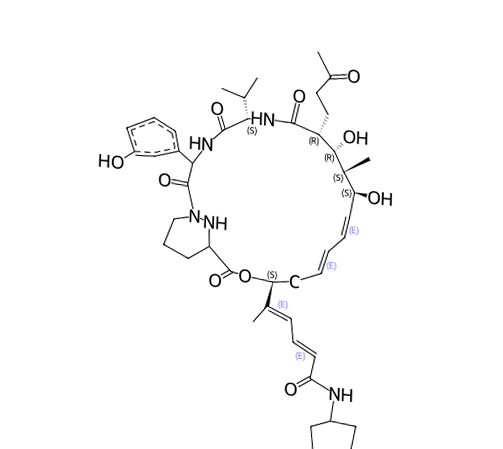 CC(=O)CC[C@H]1C(=O)N[C@@H](C(C)C)C(=O)NC(c2cccc(O)c2)C(=O)N2CCCC(N2)C(=O)O[C@H](/C(C)=C/C=C/C(=O)NC2CCCCC2)C/C=C/C=C/[C@H](O)[C@H](C)[C@H]1O